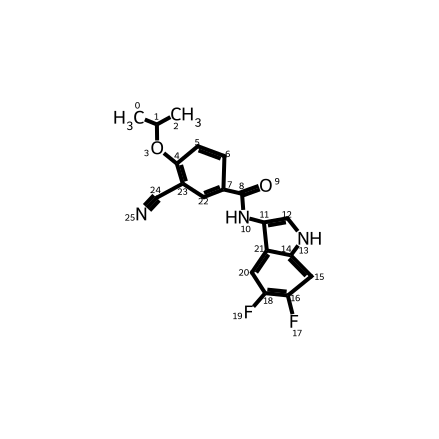 CC(C)Oc1ccc(C(=O)Nc2c[nH]c3cc(F)c(F)cc23)cc1C#N